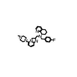 CN1CCN(C2=CC=CC3=NC(CN(Cc4ccc(F)cc4)[C@H]4CCCc5cccnc54)CN23)CC1